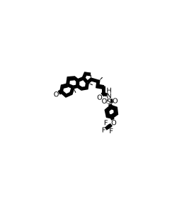 C[C@H](/C=C/C(=O)NS(=O)(=O)c1ccc(OC(F)(F)F)cc1)[C@H]1CCC2C3C=CC4=CC(=O)CC[C@]4(C)C3CC[C@@]21C